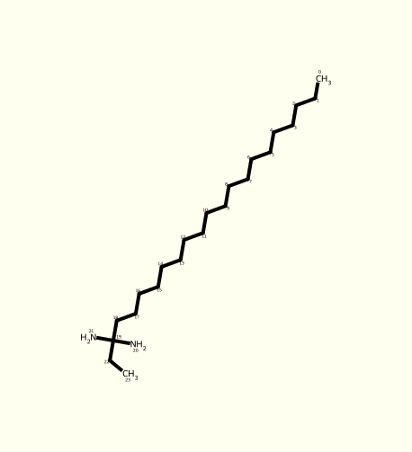 CCCCCCCCCCCCCCCCCCCC(N)(N)CC